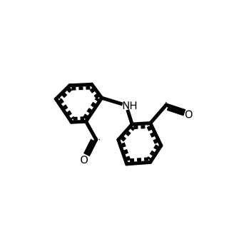 O=[C]c1ccccc1Nc1ccccc1[C]=O